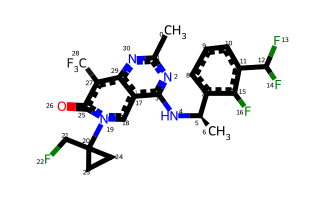 Cc1nc(N[C@H](C)c2cccc(C(F)F)c2F)c2cn(C3(CF)CC3)c(=O)c(C(F)(F)F)c2n1